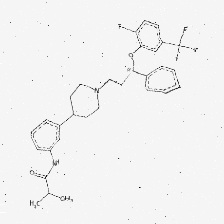 CC(C)C(=O)Nc1cccc(C2CCN(CC[C@H](Oc3cc(C(F)(F)F)ccc3F)c3ccccc3)CC2)c1